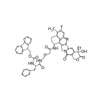 CC[C@@]1(O)C(=O)OCc2c1cc1n(c2=O)Cc2c-1nc1cc(F)c(C)c3c1c2[C@@H](NC(=O)COCNC(=O)[C@@H](Cc1ccccc1)NC(=O)OCC1c2ccccc2-c2ccccc21)CC3